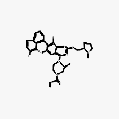 C=CC(=O)N1CCN(c2nc(OCC3CCCN3C)nc3c(F)c(-c4cccc5ccc(F)c(Cl)c45)c(Cl)cc23)C(C)C1